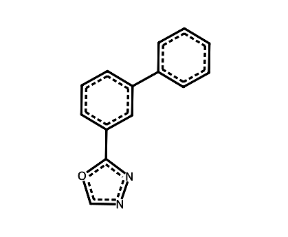 c1ccc(-c2cccc(-c3nnco3)c2)cc1